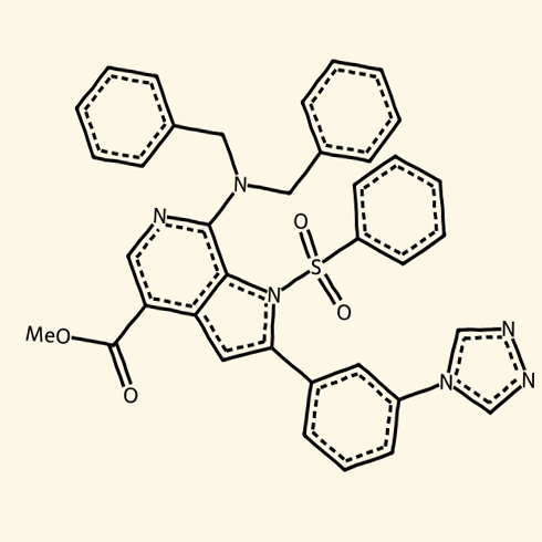 COC(=O)c1cnc(N(Cc2ccccc2)Cc2ccccc2)c2c1cc(-c1cccc(-n3cnnc3)c1)n2S(=O)(=O)c1ccccc1